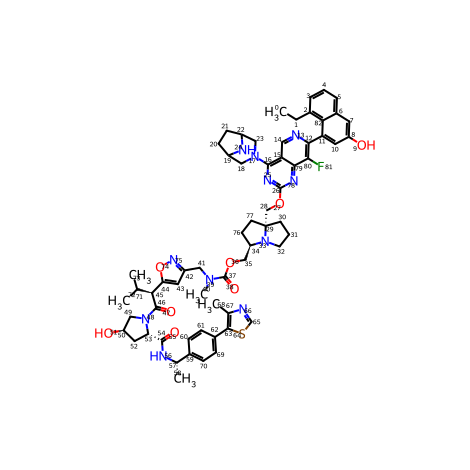 CCc1cccc2cc(O)cc(-c3ncc4c(N5CC6CCC(C5)N6)nc(OC[C@]56CCCN5[C@@H](COC(=O)N(C)Cc5cc([C@@H](C(=O)N7C[C@H](O)C[C@H]7C(=O)N[C@@H](C)c7ccc(-c8scnc8C)cc7)C(C)C)on5)CC6)nc4c3F)c12